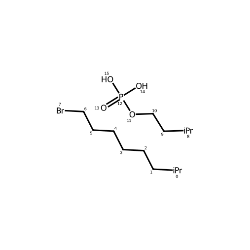 CC(C)CCCCCCBr.CC(C)CCOP(=O)(O)O